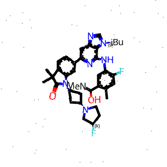 CC[C@H](C)n1cnc2cc(-c3ccc4c(c3)N([C@H]3C[C@@H](N5CC[C@@H](F)C5)C3)C(=O)C4(C)C)nc(Nc3cc(C(O)NC)c(C)cc3F)c21